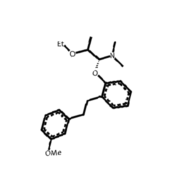 [CH2]COC(C)[C@@H](Oc1ccccc1CCc1cccc(OC)c1)N(C)C